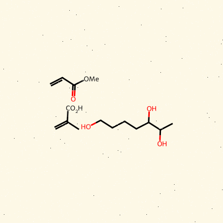 C=C(C)C(=O)O.C=CC(=O)OC.CC(O)C(O)CCCCO